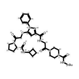 CCCCNC(=O)N1CCN(C(=O)CNC(=O)c2cc(OCC(=O)N3CCC[C@H]3C(=O)NC3CCC3)n(-c3ccccc3)n2)CC1